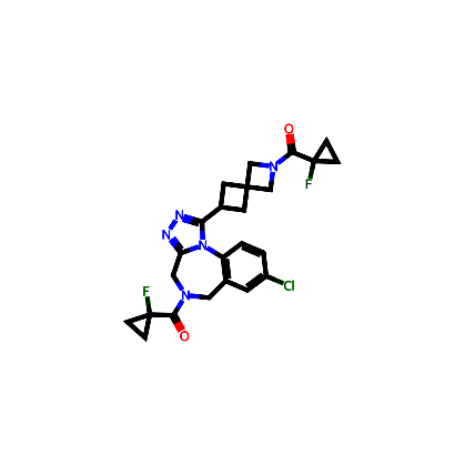 O=C(N1Cc2cc(Cl)ccc2-n2c(nnc2C2CC3(C2)CN(C(=O)C2(F)CC2)C3)C1)C1(F)CC1